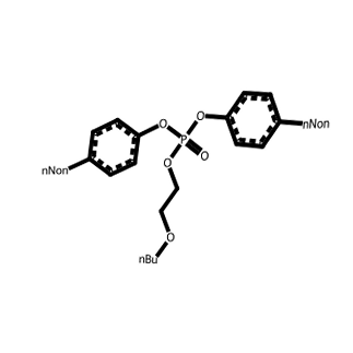 CCCCCCCCCc1ccc(OP(=O)(OCCOCCCC)Oc2ccc(CCCCCCCCC)cc2)cc1